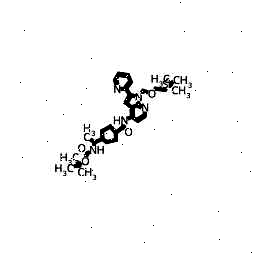 CC(NC(=O)OC(C)(C)C)C1CCC(C(=O)Nc2ccnc3c2cc(-c2ccccn2)n3COCC[Si](C)(C)C)CC1